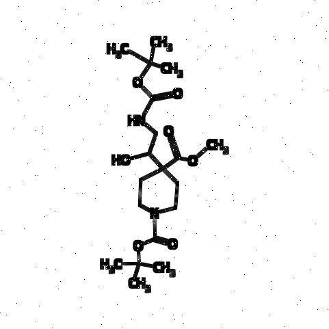 COC(=O)C1(C(O)CNC(=O)OC(C)(C)C)CCN(C(=O)OC(C)(C)C)CC1